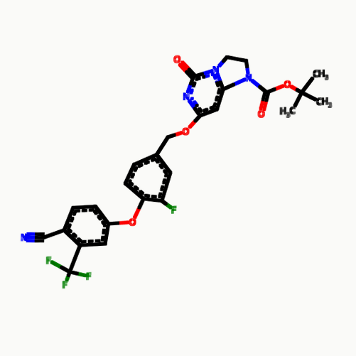 CC(C)(C)OC(=O)N1CCn2c1cc(OCc1ccc(Oc3ccc(C#N)c(C(F)(F)F)c3)c(F)c1)nc2=O